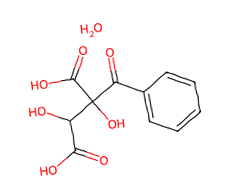 O.O=C(O)C(O)C(O)(C(=O)O)C(=O)c1ccccc1